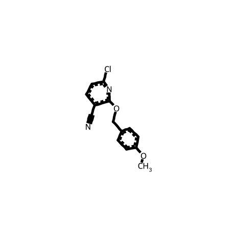 COc1ccc(COc2nc(Cl)ccc2C#N)cc1